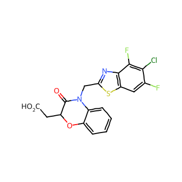 O=C(O)CC1Oc2ccccc2N(Cc2nc3c(F)c(Cl)c(F)cc3s2)C1=O